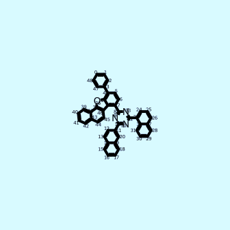 c1ccc(-c2ccc(-c3nc(-c4ccc5ccccc5c4)nc(-c4cccc5ccccc45)n3)c3c2oc2c4ccccc4ccc23)cc1